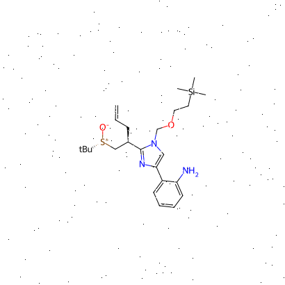 C=CC[C@H](C[S@@+]([O-])C(C)(C)C)c1nc(-c2ccccc2N)cn1COCC[Si](C)(C)C